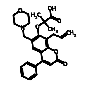 C=CCc1c(OC(C)(C)C(=O)O)c(CN2CCOCC2)cc2c(-c3ccccc3)cc(=O)oc12